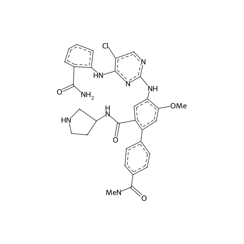 CNC(=O)c1ccc(-c2cc(OC)c(Nc3ncc(Cl)c(Nc4ccccc4C(N)=O)n3)cc2C(=O)NC2CCNC2)cc1